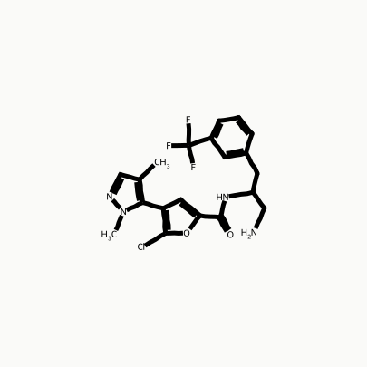 Cc1cnn(C)c1-c1cc(C(=O)NC(CN)Cc2cccc(C(F)(F)F)c2)oc1Cl